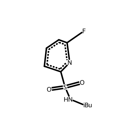 CCC(C)NS(=O)(=O)c1cccc(F)n1